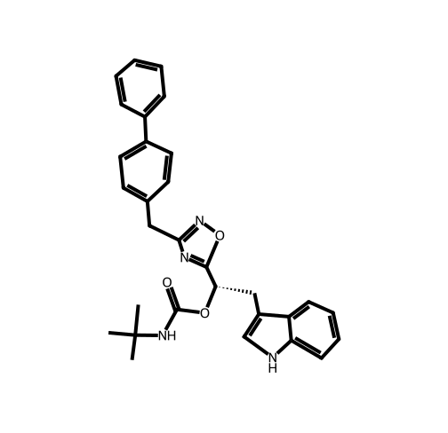 CC(C)(C)NC(=O)O[C@@H](Cc1c[nH]c2ccccc12)c1nc(Cc2ccc(-c3ccccc3)cc2)no1